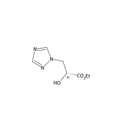 CCOC(=O)[C@H](O)Cn1cncn1